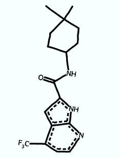 CC1(C)CCC(NC(=O)c2cc3c(C(F)(F)F)ccnc3[nH]2)CC1